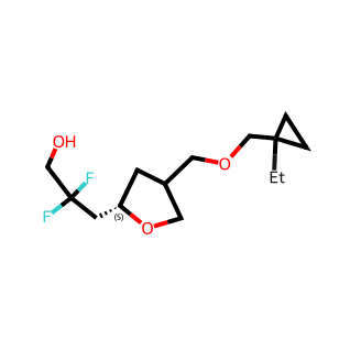 CCC1(COCC2CO[C@H](CC(F)(F)CO)C2)CC1